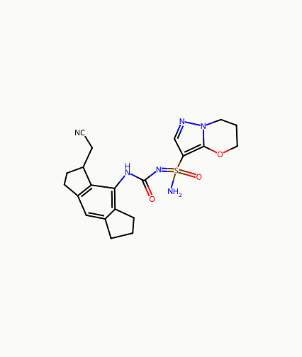 N#CCC1CCc2cc3c(c(NC(=O)N=S(N)(=O)c4cnn5c4OCCC5)c21)CCC3